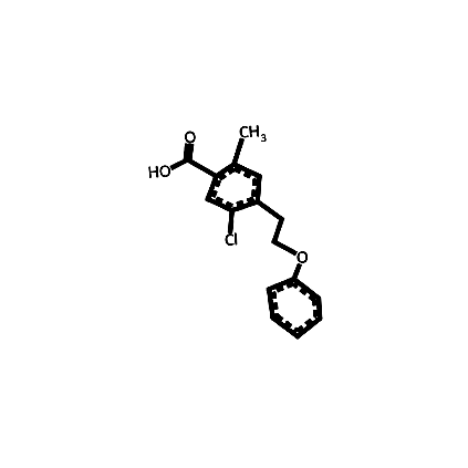 Cc1cc(CCOc2ccccc2)c(Cl)cc1C(=O)O